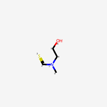 CN(C=S)CCO